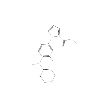 COC(=O)c1cccn1-c1ccc(N(C)C2CCCCC2)c(N)c1